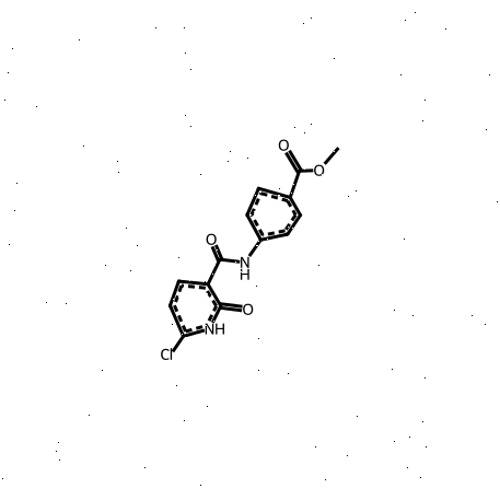 COC(=O)c1ccc(NC(=O)c2ccc(Cl)[nH]c2=O)cc1